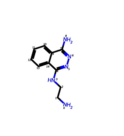 NCCNc1nnc(N)c2ccccc12